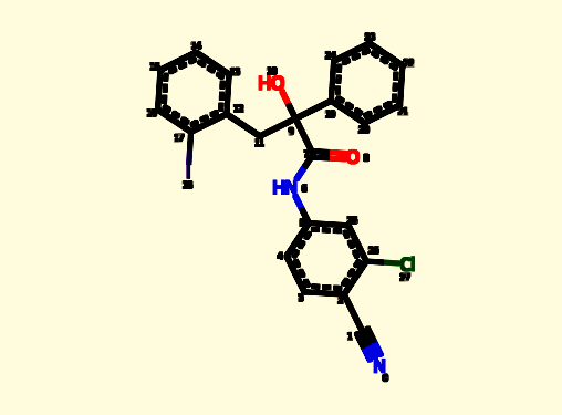 N#Cc1ccc(NC(=O)C(O)(Cc2ccccc2I)c2ccccc2)cc1Cl